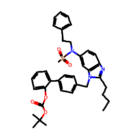 CCCCc1nc2ccc(N(CCc3ccccc3)S(C)(=O)=O)cc2n1Cc1ccc(-c2ccccc2OC(=O)OC(C)(C)C)cc1